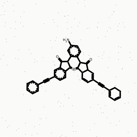 Nc1ccc(C2C(=O)C3C=CC(C#CC4=CC=CCC4)=CC3C2=O)c(C2C(=O)c3ccc(C#Cc4ccccc4)cc3C2=O)c1